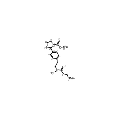 CNCCC(=O)N(C)CCc1ccc(C2=NCCN2C(=O)OC(C)(C)C)cc1